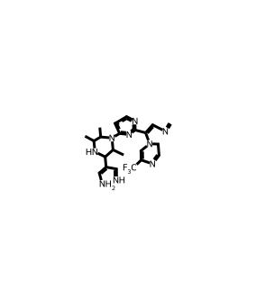 C=N/C=C(/c1nccc(N2C(C)C(C)NC(/C(C=N)=C/N)C2C)n1)N1C=C(C(F)(F)F)N=CC1